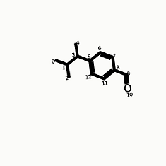 CC(C)C(C)c1ccc(C=O)cc1